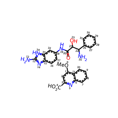 COc1cc(C(=O)O)nc2ccccc12.Nc1nc2ccc(NC(=O)C(O)C(N)c3ccccc3)cc2[nH]1